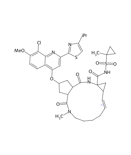 COc1ccc2c(OC3CC4C(=O)NC5(C(=O)NS(=O)(=O)C6(C)CC6)CC5/C=C/CCCCN(C)C(=O)C4C3)cc(-c3nc(C(C)C)cs3)nc2c1Cl